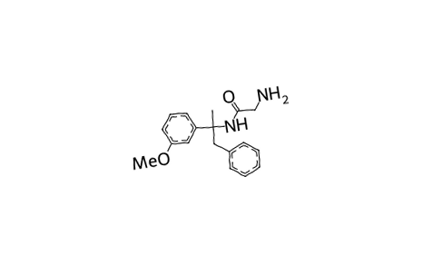 COc1cccc(C(C)(Cc2ccccc2)NC(=O)CN)c1